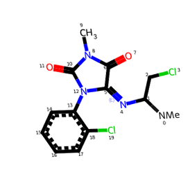 CNC(CCl)/N=C1\C(=O)N(C)C(=O)N1c1ccccc1Cl